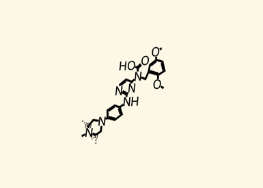 COc1ccc(OC)c(CN(C(=O)O)c2ccnc(Nc3ccc(N4C[C@@H](C)N(C)[C@@H](C)C4)cc3)n2)c1